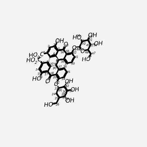 O=C(O)c1cc(O)c2c(c1)[C@H]([C@H]1c3cc(C(=O)O)cc(O)c3C(=O)c3c(O[C@@H]4CC(CO)[C@@H](O)C(O)[C@@H]4O)cccc31)c1cccc(O[C@@H]3OC(CO)[C@@H](O)C(O)[C@@H]3O)c1C2=O